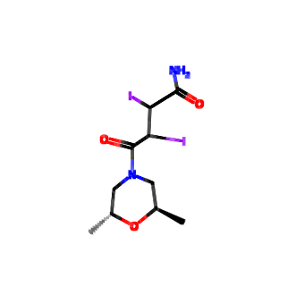 C[C@@H]1CN(C(=O)C(I)C(I)C(N)=O)C[C@@H](C)O1